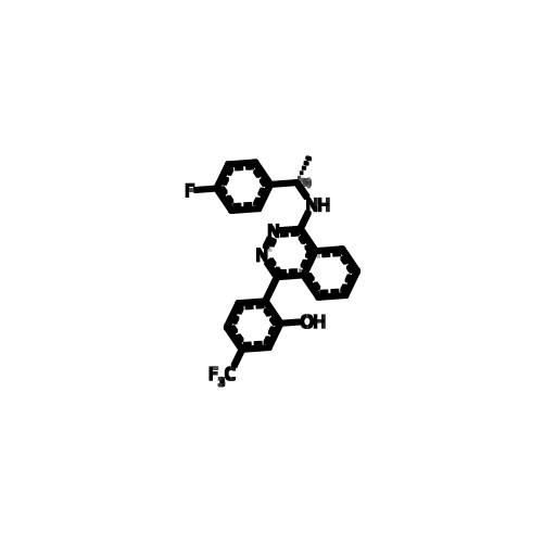 C[C@H](Nc1nnc(-c2ccc(C(F)(F)F)cc2O)c2ccccc12)c1ccc(F)cc1